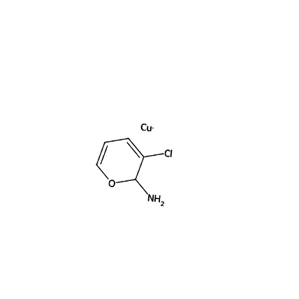 NC1OC=CC=C1Cl.[Cu]